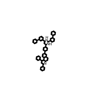 C1=C(c2cccc(-c3ccccc3)c2)NC(c2cccc(-c3ccccc3)c2)NC1c1ccc(-c2ccc3c(ccc4nc(-c5ccccc5)cc(-c5ccccc5)c43)c2)cc1